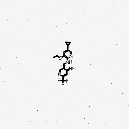 CCSc1cc(C2CC2)cnc1N/C=C1/C=NC(C(F)(F)F)=CC1=N